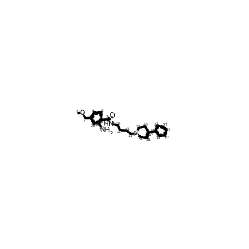 COCc1ccc(C(=O)NCCCCN2CC=C(c3ccccc3)CC2)c(N)c1